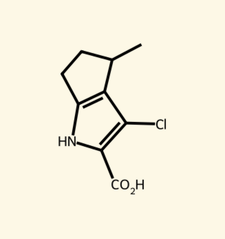 CC1CCc2[nH]c(C(=O)O)c(Cl)c21